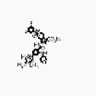 CCOC(=O)n1nc(NC(=O)c2ccc(N(C)CC(C)N(C)C)cc2NC2CCOCC2)c2c1CCN(S(=O)(=O)c1cc(F)cc(F)c1)C2